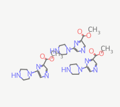 COC(=O)c1cncc(N2CCNCC2)n1.COC(=O)c1cncc(N2CCNCC2)n1.COC(=O)c1cncc(N2CCNCC2)n1